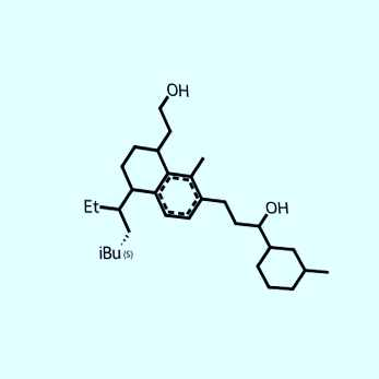 CCC(C[C@@H](C)CC)C1CCC(CCO)c2c1ccc(CCC(O)C1CCCC(C)C1)c2C